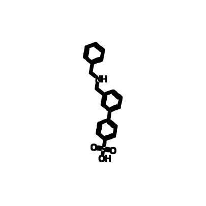 O=S(=O)(O)c1ccc(-c2cccc(CNCc3ccccc3)c2)cc1